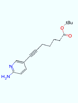 CC(C)(C)OC(=O)CCCCC#Cc1ccc(N)nc1